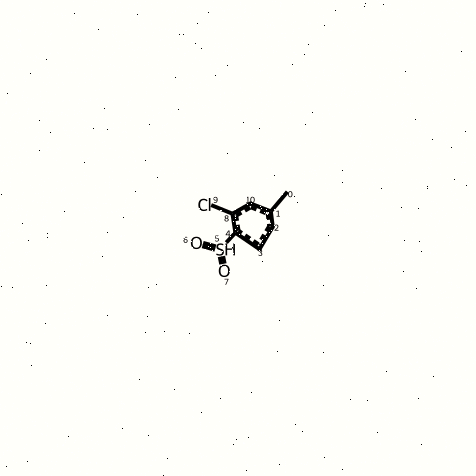 Cc1ccc([SH](=O)=O)c(Cl)c1